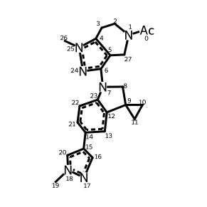 CC(=O)N1CCc2c(c(N3CC4(CC4)c4cc(-c5cnn(C)c5)ccc43)nn2C)C1